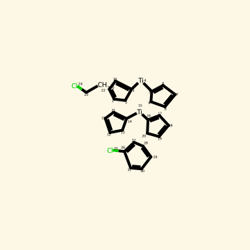 C1=CC[C]([Ti][C]2=CC=CC2)=C1.C1=CC[C]([Ti][C]2=CC=CC2)=C1.CCCl.Clc1ccccc1